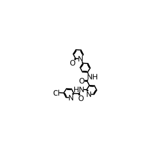 O=C(Nc1ncccc1C(=O)Nc1ccc(-n2ccccc2=O)cc1)c1ccc(Cl)cn1